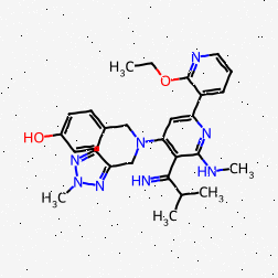 CCOc1ncccc1-c1cc(N(Cc2ccc(O)cc2)Cc2cnn(C)n2)c(C(=N)C(C)C)c(NC)n1